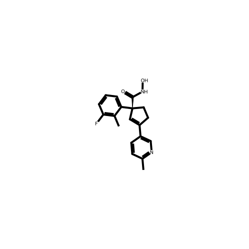 Cc1ccc(C2=C[C@](C(=O)NO)(c3cccc(F)c3C)CC2)cn1